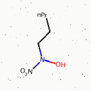 CCCCCN(O)[N+](=O)[O-]